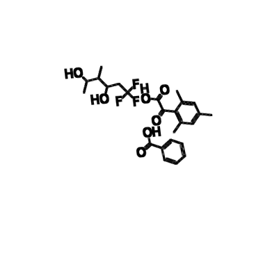 CC(O)C(C)C(O)CC(F)(F)F.Cc1cc(C)c(C(=O)C(=O)O)c(C)c1.O=C(O)c1ccccc1